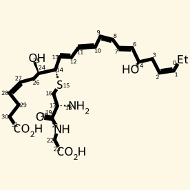 CC/C=C\C[C@H](O)/C=C/C=C\C=C\C=C[C@H](SC[C@H](N)C(=O)NCC(=O)O)[C@H](O)C/C=C\CCC(=O)O